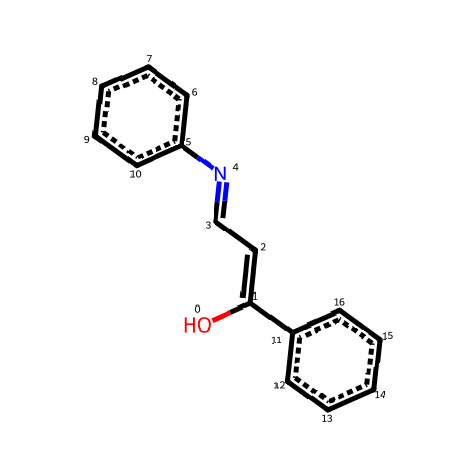 O/C(=C\C=N\c1ccccc1)c1ccccc1